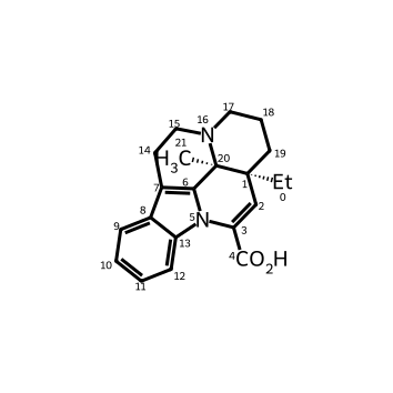 CC[C@@]12C=C(C(=O)O)n3c4c(c5ccccc53)CCN(CCC1)[C@]42C